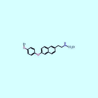 CCOC(=O)NCCc1ccc2cc(Oc3ccc(OCC)cc3)ccc2c1